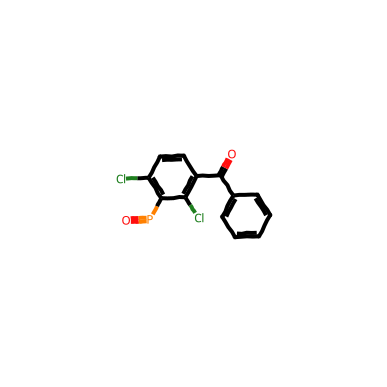 O=Pc1c(Cl)ccc(C(=O)c2ccccc2)c1Cl